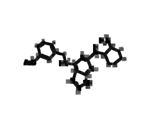 CC(=O)Oc1cccc(CNc2nc(NC3CCCCC3N)nc3[nH]nnc23)c1